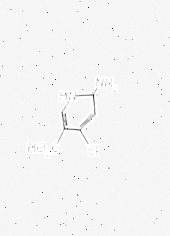 NC1C=C(Cl)C(C(=O)O)=CN1